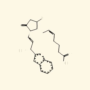 O=C(O)CCC/C=C\C[C@H]1C(F)CC(=O)[C@@H]1/C=C/[C@@H](O)c1cc2ccccc2s1